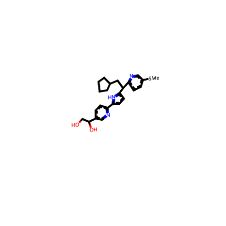 CSc1ccc(C(CC2CCCC2)c2ccc(-c3ccc(C(O)CO)cn3)[nH]2)nc1